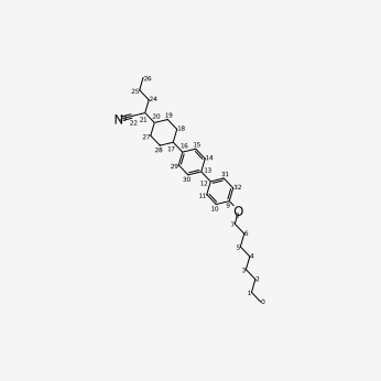 CCCCCCCCOc1ccc(-c2ccc(C3CCC(C(C#N)CCC)CC3)cc2)cc1